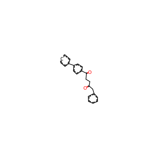 O=C(CCC(=O)c1ccc(-c2ccccc2)cc1)Cc1ccccc1